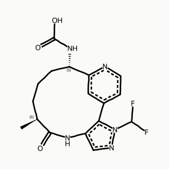 C[C@H]1CCC[C@H](NC(=O)O)c2cc(ccn2)-c2c(cnn2C(F)F)NC1=O